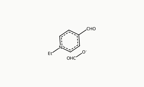 CC[n+]1ccc(C=O)cc1.O=C[O-]